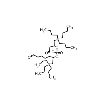 CCCC[N+](CCCC)(CCCC)CC(CC=O)OP(=O)(O)OC(CCCCC=O)C[N+](CCC)(CCC)CCC